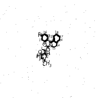 CN1C[C@@H]2[C@H](C1)OC[C@@H]2OC(=O)N1CCc2ccccc2[C@@H]1c1ccc(F)cc1